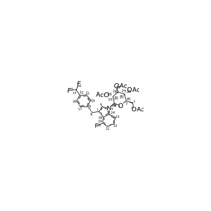 CC(=O)OC[C@H]1O[C@@H](n2cc(Cc3ccc(C(F)F)cc3)c3c(F)cccc32)[C@H](OC(C)=O)[C@@H](OC(C)=O)[C@@H]1OC(C)=O